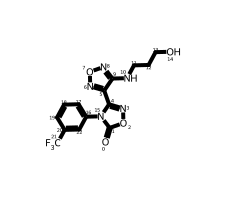 O=c1onc(-c2nonc2NCCCO)n1-c1cccc(C(F)(F)F)c1